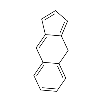 C1=CC2=Cc3ccccc3CC2=C1